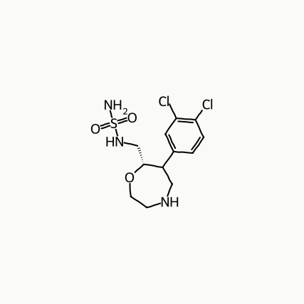 NS(=O)(=O)NC[C@H]1OCCNCC1c1ccc(Cl)c(Cl)c1